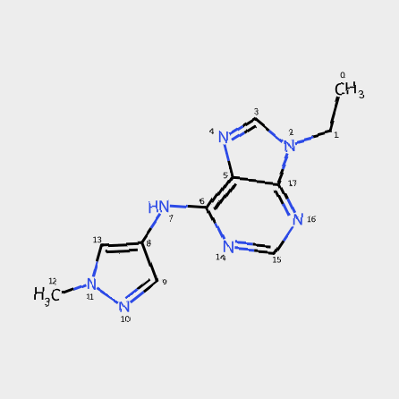 CCn1cnc2c(Nc3cnn(C)c3)ncnc21